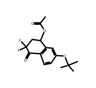 CC(=O)OC1CC(F)(F)C(=O)c2ccc(OC(C)(C)C)cc21